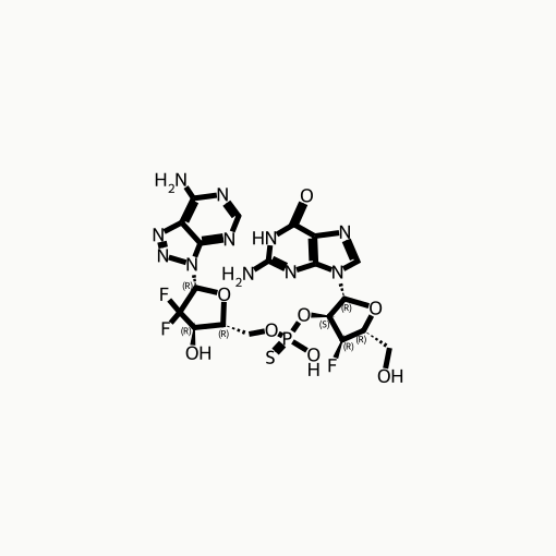 Nc1nc2c(ncn2[C@@H]2O[C@H](CO)[C@@H](F)[C@H]2OP(O)(=S)OC[C@H]2O[C@@H](n3nnc4c(N)ncnc43)C(F)(F)[C@@H]2O)c(=O)[nH]1